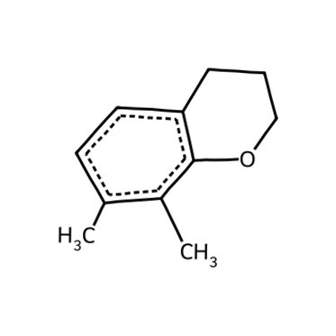 Cc1ccc2c(c1C)OCCC2